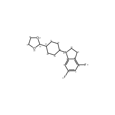 Fc1cc(F)c2c(c1)N(C1CCC(C3OCCO3)CC1)CC2